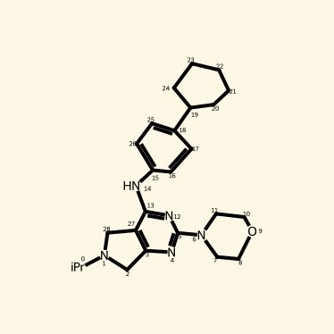 CC(C)N1Cc2nc(N3CCOCC3)nc(Nc3ccc(C4CCCCC4)cc3)c2C1